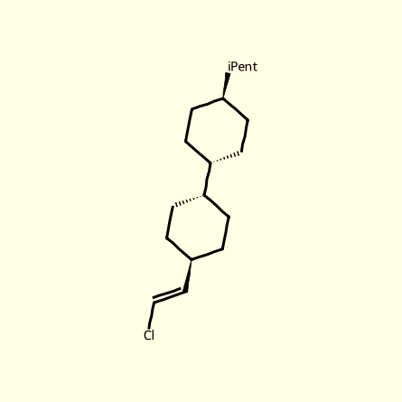 [CH2]CCC(C)[C@H]1CC[C@H]([C@H]2CC[C@H](/C=C/Cl)CC2)CC1